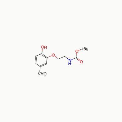 CC(C)(C)OC(=O)NCCOc1cc(C=O)ccc1O